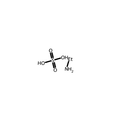 CCN.O=S(=O)(O)O